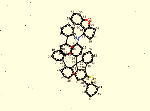 c1ccc(-c2ccccc2N(c2ccc3c(c2)-c2ccccc2-c2ccccc2C32c3ccccc3-c3c2ccc2c3sc3ccccc32)c2cccc3oc4ccccc4c23)cc1